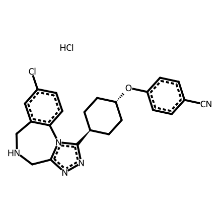 Cl.N#Cc1ccc(O[C@H]2CC[C@H](c3nnc4n3-c3ccc(Cl)cc3CNC4)CC2)cc1